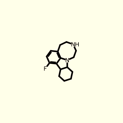 Fc1ccc2c3c1C1CCCCC1N3CCNCC2